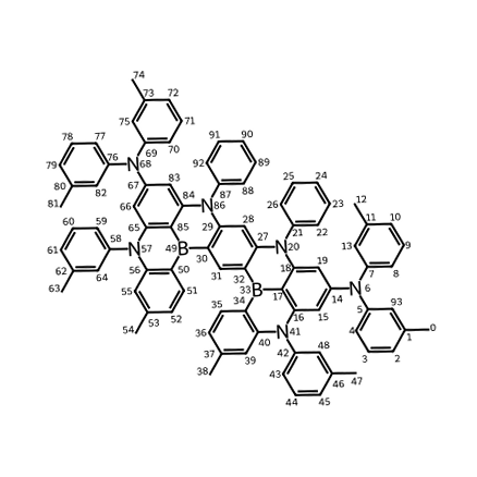 Cc1cccc(N(c2cccc(C)c2)c2cc3c4c(c2)N(c2ccccc2)c2cc5c(cc2B4c2ccc(C)cc2N3c2cccc(C)c2)B2c3ccc(C)cc3N(c3cccc(C)c3)c3cc(N(c4cccc(C)c4)c4cccc(C)c4)cc(c32)N5c2ccccc2)c1